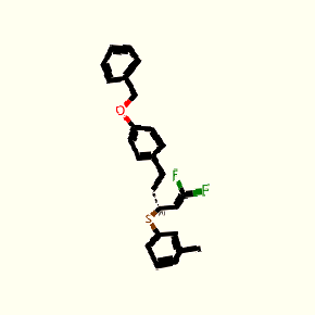 Cc1cccc(S[C@@H](C=C(F)F)CCc2ccc(OCc3ccccc3)cc2)c1